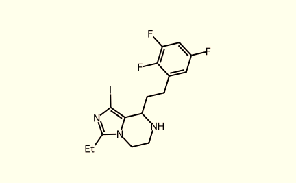 CCc1nc(I)c2n1CCNC2CCc1cc(F)cc(F)c1F